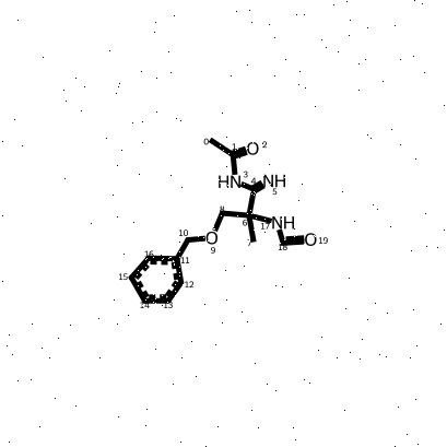 CC(=O)NC(=N)C(C)(COCc1ccccc1)NC=O